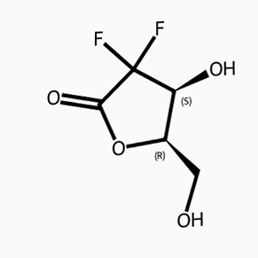 O=C1O[C@H](CO)[C@H](O)C1(F)F